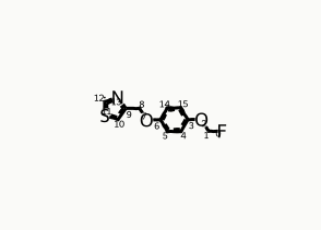 FCOc1ccc(OCc2cs[c]n2)cc1